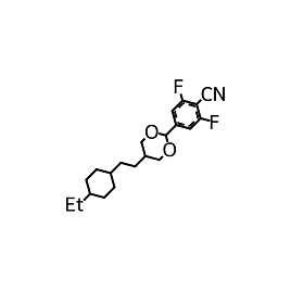 CCC1CCC(CCC2COC(c3cc(F)c(C#N)c(F)c3)OC2)CC1